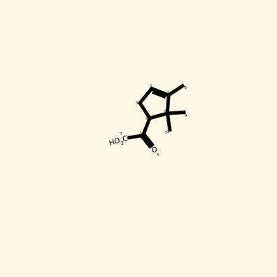 CC1=CCC(C(=O)C(=O)O)C1(C)C